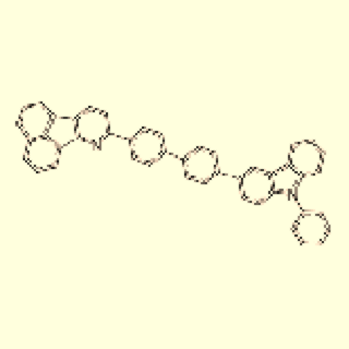 c1ccc(-n2c3ccccc3c3cc(-c4ccc(-c5ccc(-c6ccc7c(n6)-c6cccc8cccc-7c68)cc5)cc4)ccc32)cc1